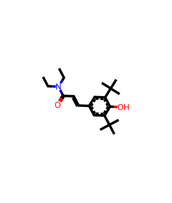 CCN(CC)C(=O)C=Cc1cc(C(C)(C)C)c(O)c(C(C)(C)C)c1